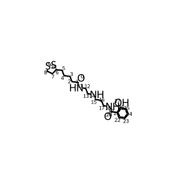 O=C(CCCCC1CCSS1)NCCNCCCNC(=O)c1ccccc1O